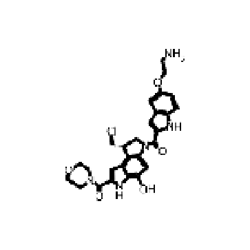 NCCOc1ccc2[nH]c(C(=O)N3C[C@@H](CCl)c4c3cc(O)c3[nH]c(C(=O)N5CCOCC5)cc43)cc2c1